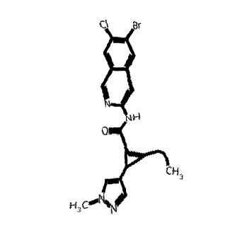 CCC1C(C(=O)Nc2cc3cc(Br)c(Cl)cc3cn2)C1c1cnn(C)c1